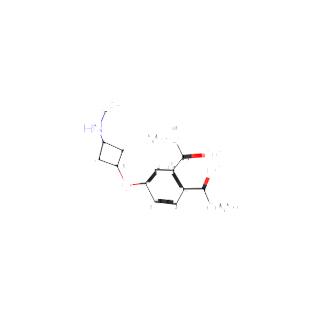 COC(=O)c1ccc(OC2CC(NC(C)C)C2)cc1C(=O)OC